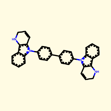 C1=Cc2c(c3ccccc3n2-c2ccc(-c3ccc(-n4c5c(c6ccccc64)NCC=C5)cc3)cc2)NC1